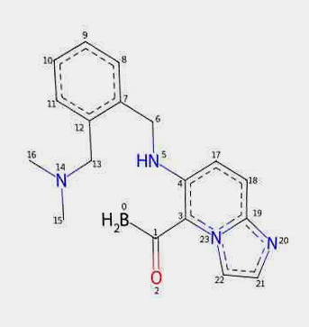 BC(=O)c1c(NCc2ccccc2CN(C)C)ccc2nccn12